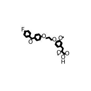 COc1cc(CC(OC)C(=O)O)ccc1OCCCOc1ccc(C(=O)c2ccc(F)cc2)cc1